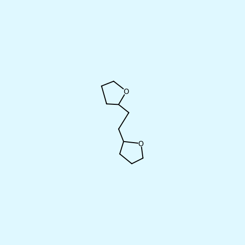 C1COC(CCC2CCCO2)C1